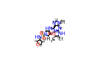 CC[C@H](Nc1nc(N[C@H]2CCN(S(=O)(=O)N[C@H]3CCOC3)C2)c2ncn(CC)c2n1)[C@@H](C)O